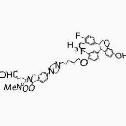 CNC(=O)C(CCC=O)N1Cc2cc(N3CCN(CCCCCOc4ccc([C@@H]5c6ccc(O)cc6OC[C@@H]5c5ccc(F)c(C)c5)cc4F)CC3)ccc2C1=O